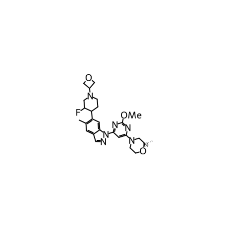 COc1nc(N2CCO[C@@H](C)C2)cc(-n2ncc3cc(C)c(C4CCN(C5COC5)CC4F)cc32)n1